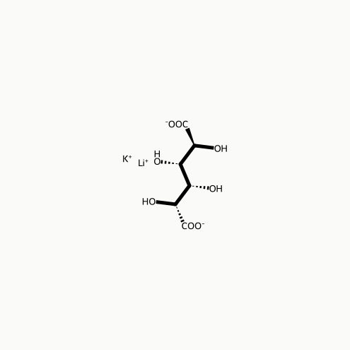 O=C([O-])[C@@H](O)[C@@H](O)[C@H](O)[C@@H](O)C(=O)[O-].[K+].[Li+]